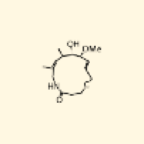 CO[C@H]1/C=C/CCCCC(=O)NC/C(C)=C\[C@@H](C)[C@@H]1O